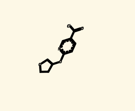 O=C(Cl)c1ccc(OC2CCOC2)nc1